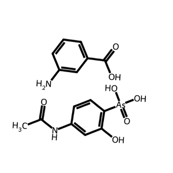 CC(=O)Nc1ccc([As](=O)(O)O)c(O)c1.Nc1cccc(C(=O)O)c1